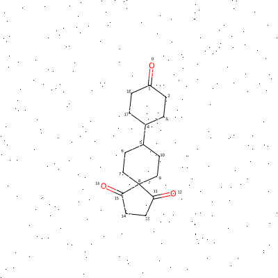 O=C1CCC(C2CCC3(CC2)C(=O)CCC3=O)CC1